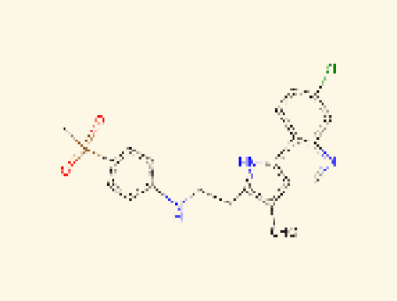 CS(=O)(=O)c1ccc(NCCc2[nH]c3c(cnc4cc(Cl)ccc43)c2C=O)cc1